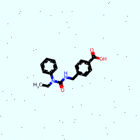 CCN(C(=O)NCc1ccc(C(=O)O)cc1)c1ccccc1